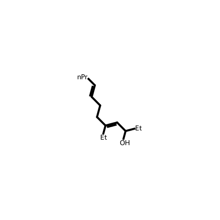 CCCC=CCCC(=CC(O)CC)CC